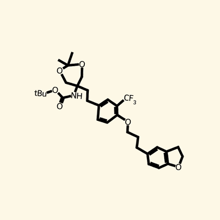 CC(C)(C)OC(=O)NC1(CCc2ccc(OCCCc3ccc4c(c3)CCO4)c(C(F)(F)F)c2)COC(C)(C)OC1